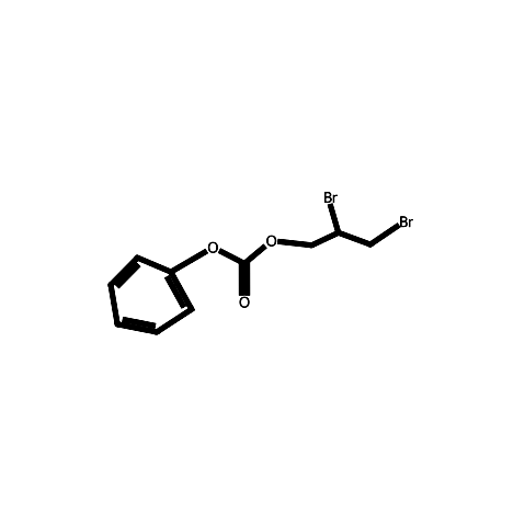 O=C(OCC(Br)CBr)Oc1ccccc1